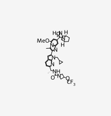 COc1cc(C(=O)N2[C@H]3CC[C@@H]2[C@H](N)C3)cc2nc(-c3cc4ccc([C@@H](C)NC(=O)N5CC(OC(F)(F)F)C5)nc4n3CC3CC3)c(C)n12